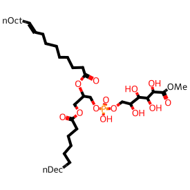 CCCCCCCCC=CCCCCCCCC(=O)OC(COC(=O)CCCCCCCCCCCCCCC)COP(=O)(O)OCC(O)C(O)C(O)C(O)C(=O)OC